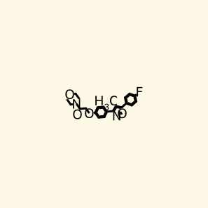 Cc1c(-c2ccc(OCC(=O)N3CCOCC3)cc2)noc1-c1ccc(F)cc1